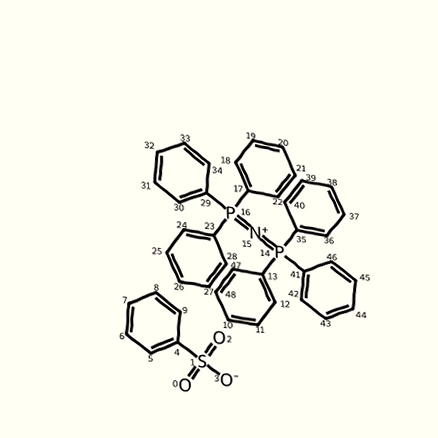 O=S(=O)([O-])c1ccccc1.c1ccc(P(=[N+]=P(c2ccccc2)(c2ccccc2)c2ccccc2)(c2ccccc2)c2ccccc2)cc1